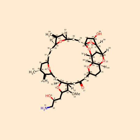 C=C1C2C[C@@H]3OC(C[C@H](O)CN)[C@H](OC)[C@H]3CC(=O)C[C@H]3CC[C@@H]4O[C@@H]5C[C@@H](O[C@@]6(CC[C@H]7CC(=C)[C@H](CCC(C[C@H]1C)O2)O7)C[C@@H](O)[C@@H]5O6)[C@H]4O3